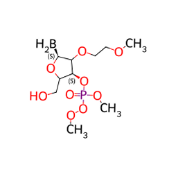 B[C@@H]1OC(CO)[C@H](OP(=O)(OC)OOC)C1OCCOC